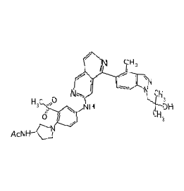 CC(=O)NC1CCN(c2ccc(Nc3cc4c(-c5ccc6c(cnn6CC(C)(C)O)c5C)nccc4cn3)cc2S(C)(=O)=O)C1